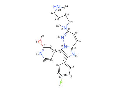 COc1cc(-c2c(-c3ccc(F)cc3)nc3ccc(N4CC5CNCC5C4)nn23)ccn1